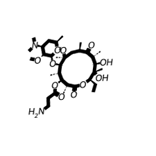 CC[C@H]1OC(=O)[C@H](C)[C@@H](OC(=O)CCN)[C@H](C)[C@@H](O[C@@H]2O[C@H](C)C[C@H](N(C)C)[C@H]2OC)[C@@](C)(OC)C[C@@H](C)C(=O)[C@H](C)[C@@H](O)[C@]1(C)O